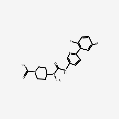 CCCC(=O)N1CCC(N(C)C(=O)Nc2ccc(-c3cc(F)ccc3F)nc2)CC1